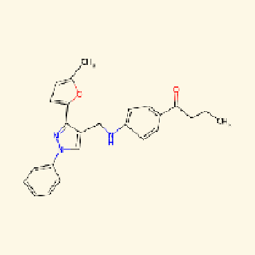 CCCC(=O)c1ccc(NCc2cn(-c3ccccc3)nc2-c2ccc(C)o2)cc1